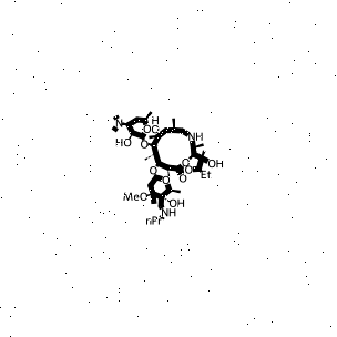 CCCNC[C@]1(O)[C@H](C)O[C@@H](O[C@H]2[C@H](C)[C@@H](O[C@@H]3O[C@H](C)C[C@H](N(C)C)[C@H]3O)[C@](C)(O)C[C@@H](C)CN[C@@H](C)[C@@H]([C@](C)(O)[C@H](O)CC)OC(=O)[C@@H]2C)C[C@@]1(C)OC